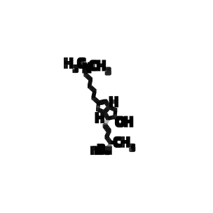 CCCC[C@@H](C)C/C=C/[C@@H]1[C@H]2CC(CCCCCN(C)C)=C[C@H]2C[C@H]1O